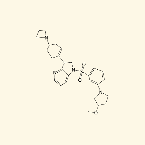 COC1CCN(c2cccc(S(=O)(=O)N3CC(C4=CCC(N5CCC5)CC4)c4ncccc43)c2)C1